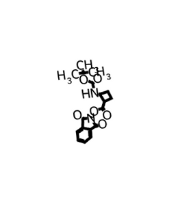 CC(C)(C)OC(=O)NC1CCC1C(=O)ON1C(=O)c2ccccc2C1=O